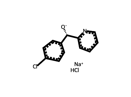 Cl.[Na+].[O-][C@@H](c1ccc(Cl)cc1)c1ccccn1